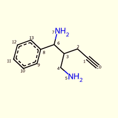 [C]#CCC(CN)C(N)c1ccccc1